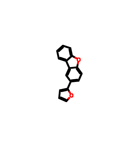 c1coc(-c2ccc3oc4ccccc4c3c2)c1